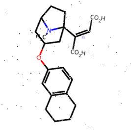 CN1C2CCC1(/C(=C\C(=O)O)C(=O)O)CC(Oc1ccc3c(c1)CCCC3)C2